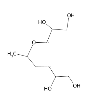 CC(C[CH]C(O)CO)O[CH]C(O)CO